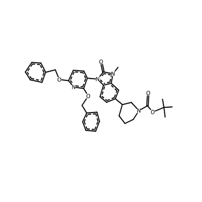 Cn1c(=O)n(-c2ccc(OCc3ccccc3)nc2OCc2ccccc2)c2ccc(C3CCCN(C(=O)OC(C)(C)C)C3)cc21